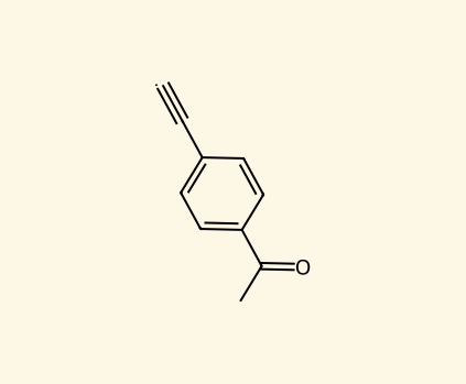 [C]#Cc1ccc(C(C)=O)cc1